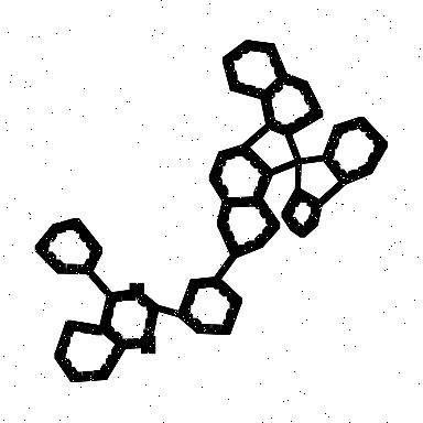 c1ccc(-c2nc(-c3cccc(-c4ccc5c6c(ccc5c4)-c4c(ccc5ccccc45)C64c5ccccc5-c5ccccc54)c3)nc3ccccc23)cc1